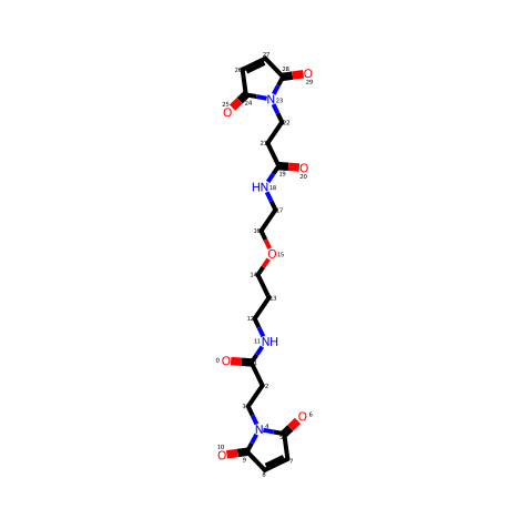 O=C(CCN1C(=O)C=CC1=O)NCCCOCCNC(=O)CCN1C(=O)C=CC1=O